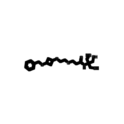 O=C(CCOCCOC1CC(OCc2ccccc2)C1)NC(CO)(CO)CO